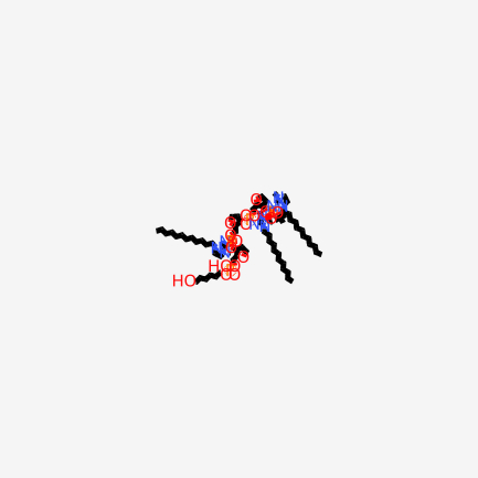 CCCCCCCCCCCCN1CCN(C)C1=NP(=O)(OCC1OCCC1OP(=O)(/N=C1\N(C)CCN1CCCCCCCCCCCC)OCC1OCCC1OP(=O)(N=C1N(C)CCN1CCCCCCCCCCCC)OC(C)(C)C)OC1CCOC1COP(=O)(O)OCCCCCCO